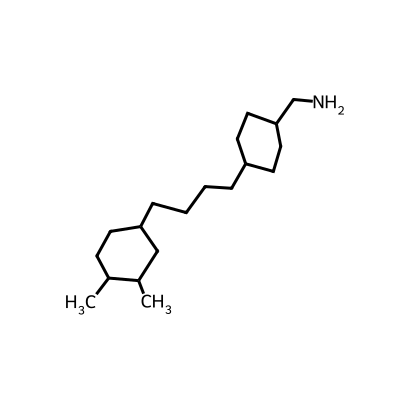 CC1CCC(CCCCC2CCC(CN)CC2)CC1C